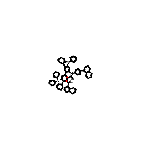 c1ccc(-n2c3ccccc3c3cc(-c4ccc5c(c4)[Si](c4ccccc4)(c4ccccc4)c4ccccc4-5)c(N(c4ccc(-c5cccc6ccccc56)cc4)c4ccc(-c5cccc6ccccc56)cc4)cc32)cc1